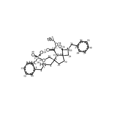 CC(C)(C)OC(=O)N1C(CNCc2ccccc2)(COS(C)(=O)=O)CCC12CN(Cc1ccccc1)C2=O